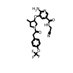 CC1CN(C(=O)Cc2ccc(OC(F)(F)F)cc2)CC1Oc1cc(C(=O)NCC#N)cnc1N